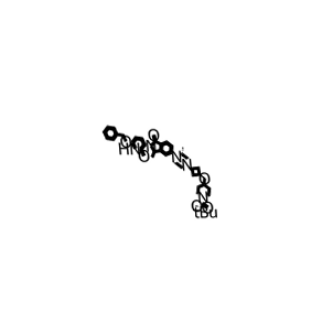 CC1c2cc(N3CCN([C@H]4C[C@H](OC5CCN(C(=O)OC(C)(C)C)CC5)C4)C[C@H]3C)ccc2C(=O)N1c1ccc(OCc2ccccc2)[nH]c1=O